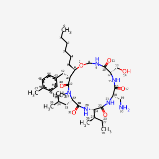 CCCCCC[C@H]1OCNC(=O)[C@H](CO)NC(=O)[C@H](CN)NC(=O)[C@H]([C@H](C)CC)NC(=O)[C@H](CC(C)C)N(C)C(=O)[C@@H]1Cc1ccc(C)cc1